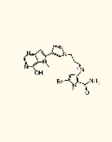 Cn1c(Br)cc(/N=C\CCn2cc(-c3cc4ncnc(O)c4n3C)cn2)c1C(N)=O